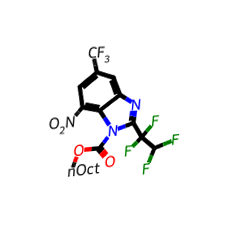 CCCCCCCCOC(=O)n1c(C(F)(F)C(F)F)nc2cc(C(F)(F)F)cc([N+](=O)[O-])c21